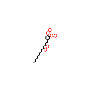 CCCCCCCCCC(=O)CC(=O)/C=C/c1ccc(OCOC)c(OCOC)c1